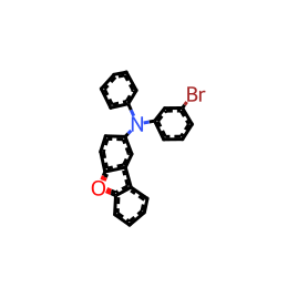 Brc1cccc(N(c2ccccc2)c2ccc3oc4ccccc4c3c2)c1